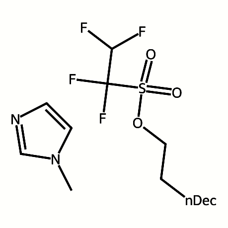 CCCCCCCCCCCCOS(=O)(=O)C(F)(F)C(F)F.Cn1ccnc1